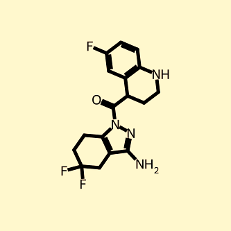 Nc1nn(C(=O)C2CCNc3ccc(F)cc32)c2c1CC(F)(F)CC2